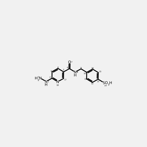 NNc1ccc(C(=O)NCc2ccc(S(=O)(=O)O)cc2)cn1